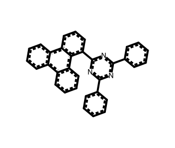 c1ccc(-c2nc(-c3ccccc3)nc(-c3cccc4c5ccccc5c5ccccc5c34)n2)cc1